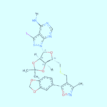 [2H]Nc1ncnc2c1c(I)nn2[C@@H]1O[C@H](CSCc2c(C)noc2-c2ccc3c(c2)OCO3)[C@H]2OC(C)(C)O[C@H]21